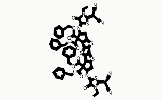 CCN1C(=O)/C(=N/C2=Cc3sc4c(sc5c6c(sc54)C=C(/N=C4\SC(=C(C#N)C#N)N(CC)C4=O)C6(C(=O)OCc4ccccc4)C(=O)OCc4ccccc4)c3C2(C(=O)OCc2ccccc2)C(=O)OCc2ccccc2)SC1=C(C#N)C#N